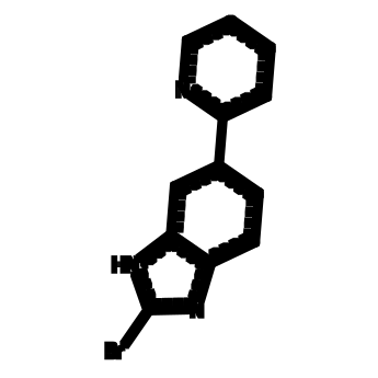 Brc1nc2ccc(-c3ccccn3)cc2[nH]1